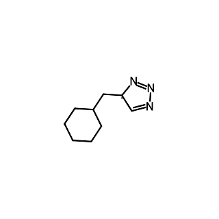 C1=NN=N[C]1CC1CCCCC1